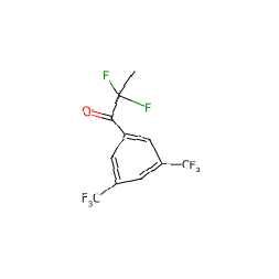 CC(F)(F)C(=O)c1cc(C(F)(F)F)cc(C(F)(F)F)c1